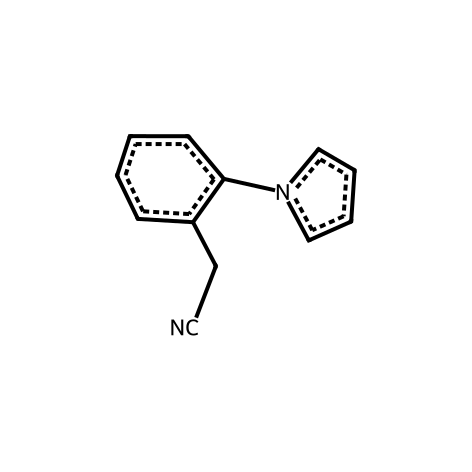 N#CCc1ccccc1-n1cccc1